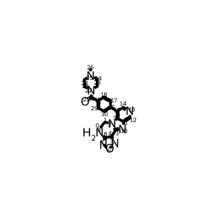 CCn1c(-c2nonc2N)nc2cncc(-c3ccc(C(=O)N4CCN(C)CC4)cc3)c21